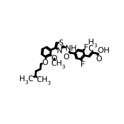 COc1c(OCCCC(C)C)cccc1-c1csc(NC(=O)c2cc(F)c(C=C(C)C(=O)O)c(F)c2)n1